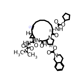 CN(C)S(=O)(=O)NC(=O)[C@@]12C[C@H]1/C=C\CCCCC[C@H](NC(=O)OC1CCCC1)C(=O)N1C[C@H](OC(=O)N3CCc4ccccc4C3)C[C@H]1C(=O)N2